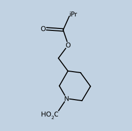 CC(C)C(=O)OCC1CCCN(C(=O)O)C1